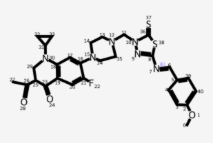 COc1ccc(/C=N/c2nn(CN3CCN(c4cc5c(cc4F)C(=O)C(C(C)=O)CN5C4CC4)CC3)c(=S)s2)cc1